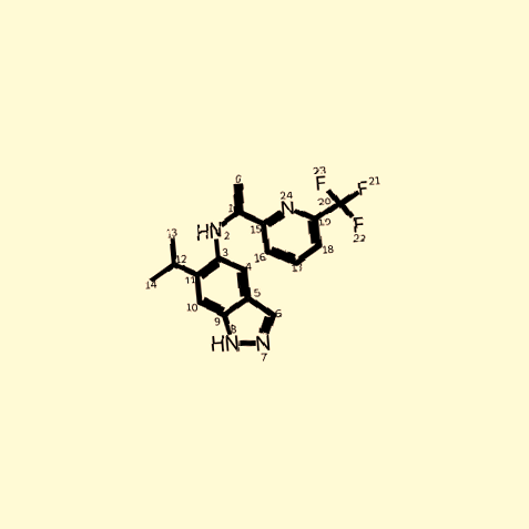 C=C(Nc1cc2cn[nH]c2cc1C(C)C)c1cccc(C(F)(F)F)n1